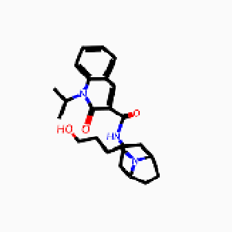 CC(C)n1c(=O)c(C(=O)NC2CC3CCC(C2)N3CCCCO)cc2ccccc21